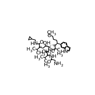 COCCCC(c1ccc2cc[nH]c2c1)[C@@H](C[C@H](NC(=O)[C@@H](NC(=O)CN)C(C)C)[C@@H](O)C[C@H](C(=O)NCC1CC1)C(C)C)C(C)C